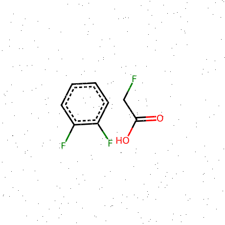 Fc1ccccc1F.O=C(O)CF